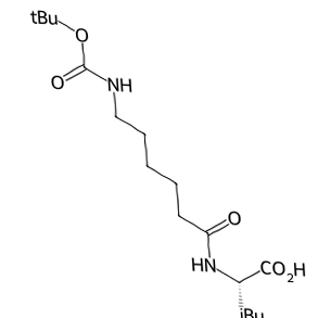 CCC(C)[C@H](NC(=O)CCCCCNC(=O)OC(C)(C)C)C(=O)O